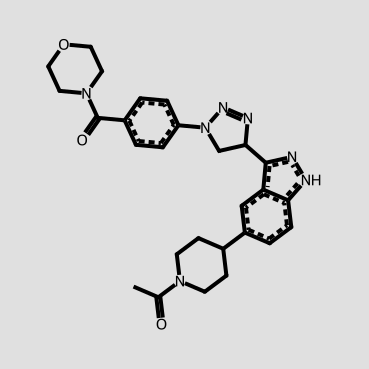 CC(=O)N1CCC(c2ccc3[nH]nc(C4CN(c5ccc(C(=O)N6CCOCC6)cc5)N=N4)c3c2)CC1